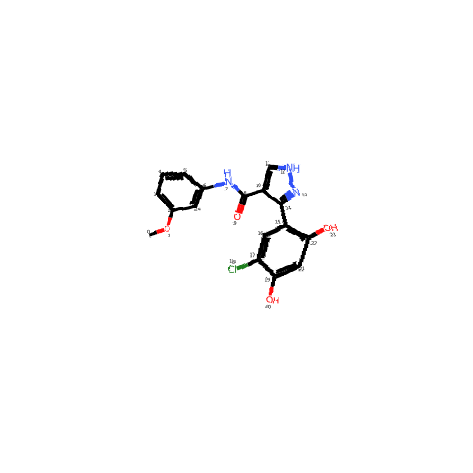 COc1cccc(NC(=O)c2c[nH]nc2-c2cc(Cl)c(O)cc2O)c1